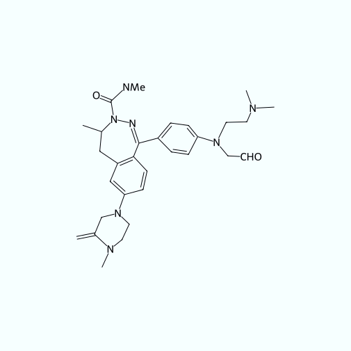 C=C1CN(c2ccc3c(c2)CC(C)N(C(=O)NC)N=C3c2ccc(N(CC=O)CCN(C)C)cc2)CCN1C